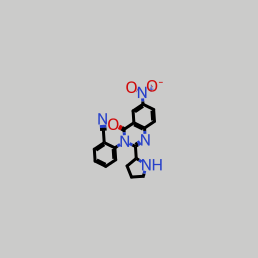 N#Cc1ccccc1-n1c(C2CCCN2)nc2ccc([N+](=O)[O-])cc2c1=O